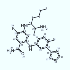 CCCCC(Nc1nc(Nc2cnc(C)c(-n3nccn3)c2)c(C(N)=O)cc1F)C(C)N